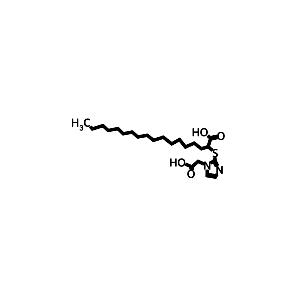 CCCCCCCCCCCCCCCCC(Sc1nccn1CC(=O)O)C(=O)O